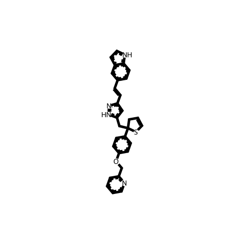 C1=CSC(Cc2cc(/C=C/c3ccc4[nH]ccc4c3)n[nH]2)(c2ccc(OCc3ccccn3)cc2)C1